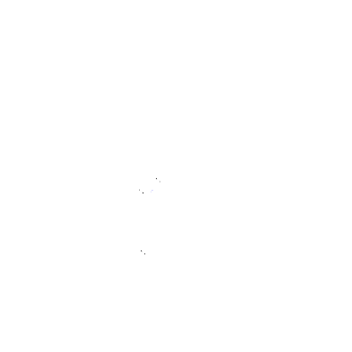 CCCc1cc(/N=N/c2ccncc2)ccc1O